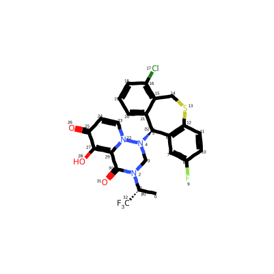 C[C@@H](N1CN([C@@H]2c3cc(F)ccc3SCc3c(Cl)cccc32)n2ccc(=O)c(O)c2C1=O)C(F)(F)F